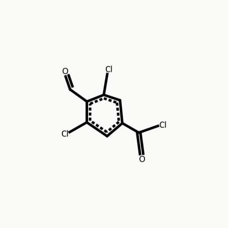 O=Cc1c(Cl)cc(C(=O)Cl)cc1Cl